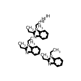 CCc1nc2ccccc2n1CC.CCc1nc2ccccc2n1CC.CCc1nc2ccccc2n1CC.I.I.I